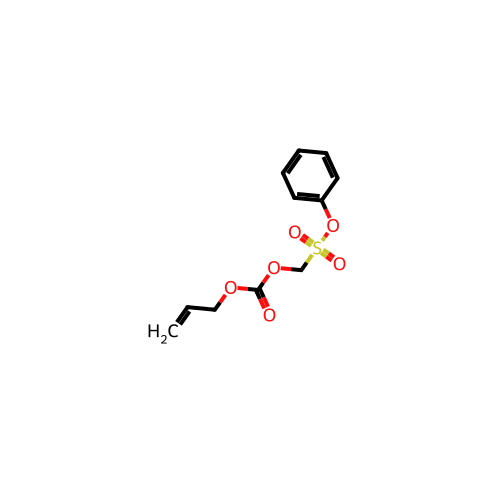 C=CCOC(=O)OCS(=O)(=O)Oc1ccccc1